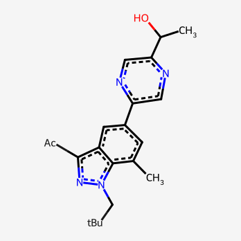 CC(=O)c1nn(CC(C)(C)C)c2c(C)cc(-c3cnc(C(C)O)cn3)cc12